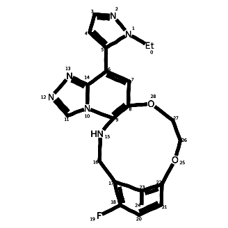 CCn1nccc1-c1cc2c(n3cnnc13)NCc1c(F)ccc(c1C)OCCO2